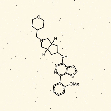 COc1ccccc1-c1nnc(NC2C[C@@H]3CN(CC4CCOCC4)C[C@@H]3C2)c2ccsc12